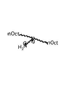 CCCCCCCCC=CCCCCCCCCN(CCCCCCCCC=CCCCCCCCC)C(=O)CCCCC(N)=O